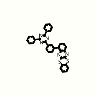 c1ccc(-c2nc(-c3ccccc3)nc(-c3cccc(-c4cccc5nc6c(nc45)Sc4ccccc4S6)c3)n2)cc1